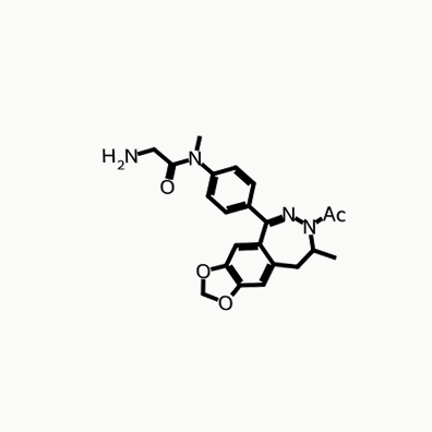 CC(=O)N1N=C(c2ccc(N(C)C(=O)CN)cc2)c2cc3c(cc2CC1C)OCO3